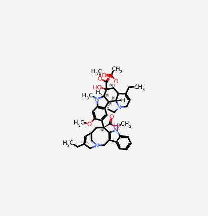 CCC1=CC2CN(C1)Cc1c([nH]c3ccccc13)[C@@](C(=O)OC)(c1cc3c(cc1OC)N(C)[C@H]1C(O)(C(=O)OC)[C@H](OC(C)=O)C4C(CC)=CCN5CC[C@]31[C@H]45)C2